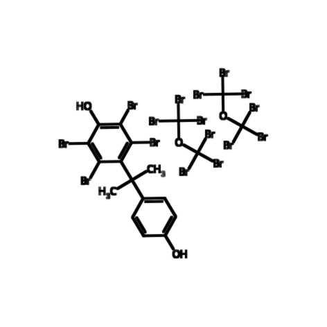 BrC(Br)(Br)OC(Br)(Br)Br.BrC(Br)(Br)OC(Br)(Br)Br.CC(C)(c1ccc(O)cc1)c1c(Br)c(Br)c(O)c(Br)c1Br